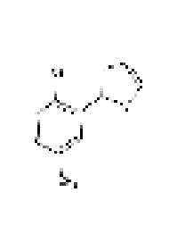 Cc1ccc(S)c(-c2cccs2)c1